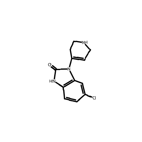 O=c1[nH]c2ccc(Cl)cc2n1C1=CCNCC1